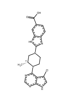 C[C@@H]1CN(c2nc3ccc(C(=O)O)cc3[nH]2)CCN1c1ncnc2[nH]cc(Cl)c12